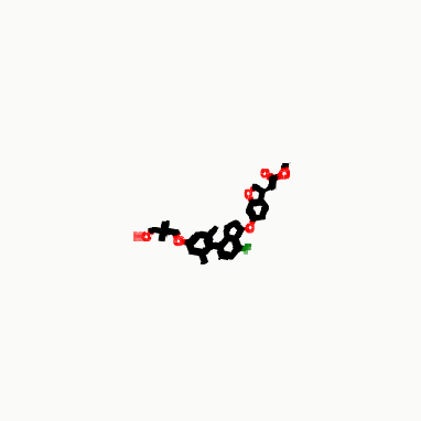 COC(=O)C[C@@H]1COc2cc(O[C@@H]3CCc4c(-c5c(C)cc(OCC(C)(C)CO)cc5C)ccc(F)c43)ccc21